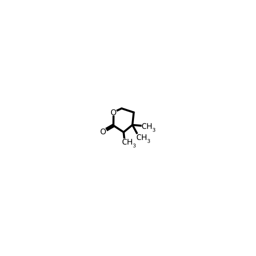 CC1C(=O)OCCC1(C)C